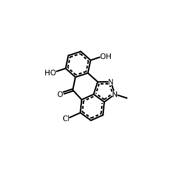 Cn1nc2c3c(c(Cl)ccc31)C(=O)c1c(O)ccc(O)c1-2